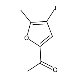 CC(=O)c1cc(I)c(C)o1